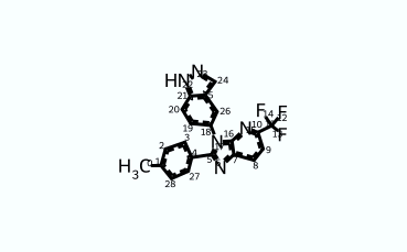 Cc1ccc(-c2nc3ccc(C(F)(F)F)nc3n2-c2ccc3[nH]ncc3c2)cc1